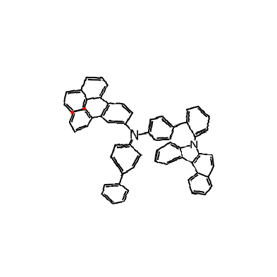 c1ccc(-c2ccc(N(c3ccc(-c4ccccc4-n4c5ccccc5c5c6ccccc6ccc54)cc3)c3ccc(-c4cccc5ccccc45)c(-c4ccccc4)c3)cc2)cc1